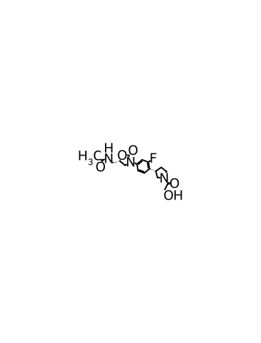 CC(=O)NC[C@H]1CN(c2ccc([C@@H]3CCN(C(=O)CO)C3)c(F)c2)C(=O)O1